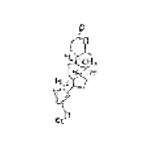 CCOc1cncc(C2=CC[C@H]3[C@@H]4CCC5OC(=O)CC[C@]5(C)[C@H]4CC[C@]23C)c1